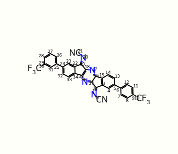 N#C/N=c1\c2cc(-c3ccc(C(F)(F)F)cc3)ccc2c2nc3/c(=N/C#N)c4cc(-c5cccc(C(F)(F)F)c5)ccc4c3nc12